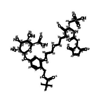 CC(C)(C)C(=O)OCc1ccc(O[C@@H]2O[C@H](C(=O)O)[C@@H](O)[C@H](O)[C@H]2O)cc1OCCOCCNC(=O)[C@H](CS(=O)(=O)O)NC(=O)CN1C(=O)C=CC1=O